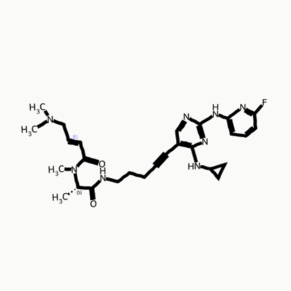 C[C@@H](C(=O)NCCCC#Cc1cnc(Nc2cccc(F)n2)nc1NC1CC1)N(C)C(=O)/C=C/CN(C)C